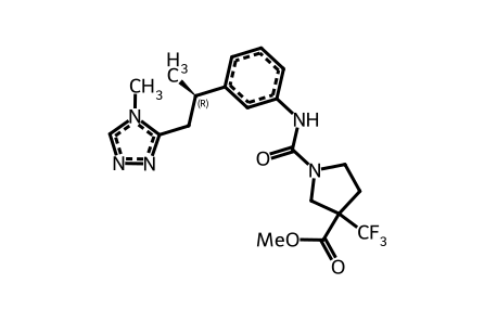 COC(=O)C1(C(F)(F)F)CCN(C(=O)Nc2cccc([C@H](C)Cc3nncn3C)c2)C1